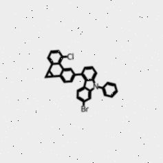 Clc1cccc2c1-c1cc(-c3cccc4c3c3ccc(Br)cc3n4-c3ccccc3)ccc1C1CC21